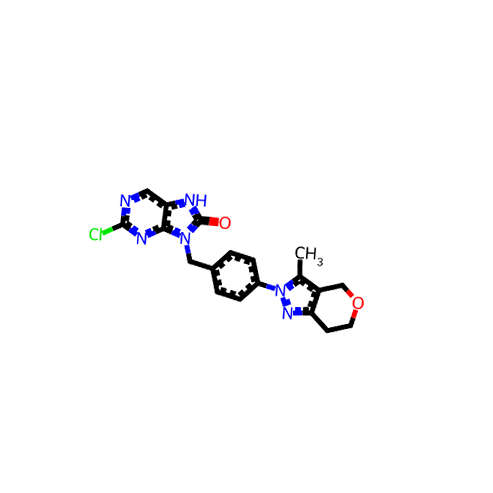 Cc1c2c(nn1-c1ccc(Cn3c(=O)[nH]c4cnc(Cl)nc43)cc1)CCOC2